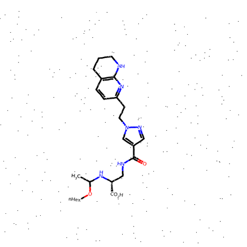 CCCCCCOC(C)N[C@@H](CNC(=O)c1cnn(CCc2ccc3c(n2)NCCC3)c1)C(=O)O